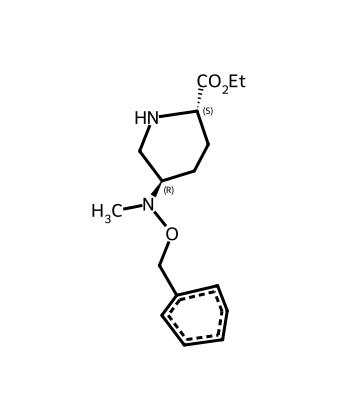 CCOC(=O)[C@@H]1CC[C@@H](N(C)OCc2ccccc2)CN1